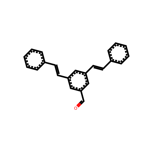 O=Cc1cc(C=Cc2ccccc2)cc(C=Cc2ccccc2)c1